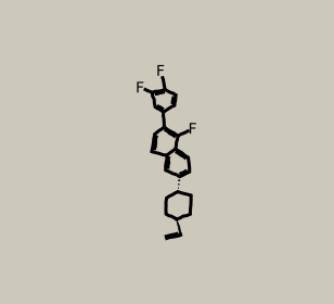 C=C[C@H]1CC[C@H](c2ccc3c(F)c(-c4ccc(F)c(F)c4)ccc3c2)CC1